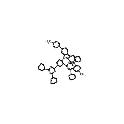 Cc1ccc(-c2ccc3c4ccc(-c5ccc(C)cc5)cc4n(-c4ccc(-c5nc(-c6ccccc6)nc(-c6ccccc6)n5)cc4-c4nc(-c5ccccc5)nc(-c5ccccc5)n4)c3c2)cc1